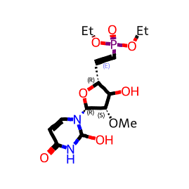 CCOP(=O)(/C=C/[C@H]1O[C@@H](N2C=CC(=O)NC2O)[C@@H](OC)C1O)OCC